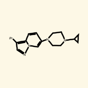 CC(C)c1cnn2cc(N3CCN(C4CC4)CC3)ccc12